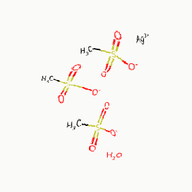 CS(=O)(=O)[O-].CS(=O)(=O)[O-].CS(=O)(=O)[O-].O.[Ag+3]